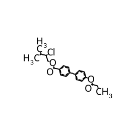 CCC(=O)Oc1ccc(-c2ccc(C(=O)OCC(Cl)C(C)C)cc2)cc1